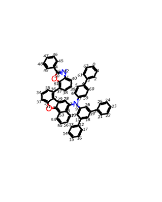 c1ccc(-c2ccc(N(c3cc(-c4ccccc4)cc(-c4ccccc4)c3)c3cc4c(oc5cccc(-c6cccc7nc(-c8ccccc8)oc67)c54)c4ccccc34)cc2)cc1